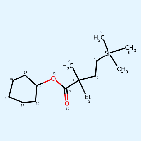 CCC(C)(CC[Si](C)(C)C)C(=O)OC1CCCCC1